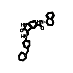 O=C1Nc2ccc(C(=O)N[C@H]3CCCc4ccccc43)cc2/C1=C/Nc1ccc(CN2CCCCC2)cc1